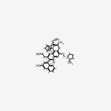 CC1Cc2c(OC[C@@H]3CCCN3C)nc3c(F)c(-c4cc(O)cc5ccccc45)c(CCC#N)cc3c2N(C2C3CC2N(C(=O)OC(C)(C)C)C3)C1